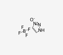 F[B-](F)(F)F.[O-][n+]1cc[nH]n1